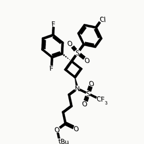 CC(C)(C)OC(=O)CCCN([C@H]1C[C@@](c2cc(F)ccc2F)(S(=O)(=O)c2ccc(Cl)cc2)C1)S(=O)(=O)C(F)(F)F